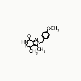 COc1ccc(Cn2nc3c(=O)[nH]nc(C)c3c2C)cc1